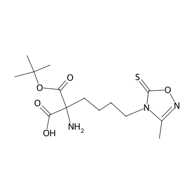 Cc1noc(=S)n1CCCCC(N)(C(=O)O)C(=O)OC(C)(C)C